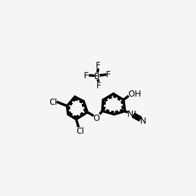 F[B-](F)(F)F.N#[N+]c1cc(Oc2ccc(Cl)cc2Cl)ccc1O